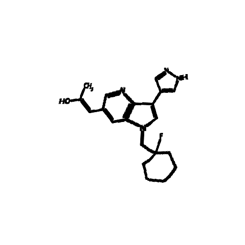 C/C(O)=C\c1cnc2c(-c3cn[nH]c3)cn(CC3(F)CCCCC3)c2c1